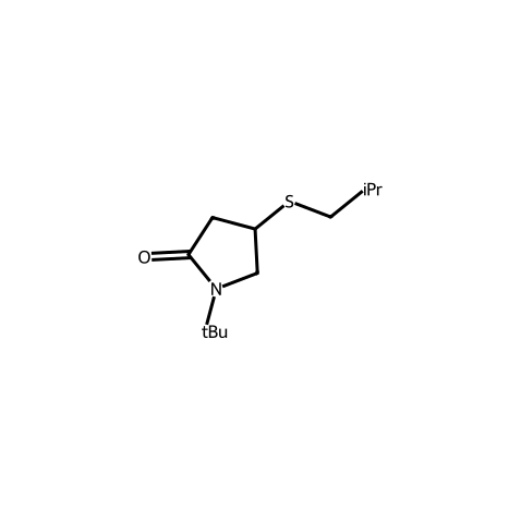 CC(C)CSC1CC(=O)N(C(C)(C)C)C1